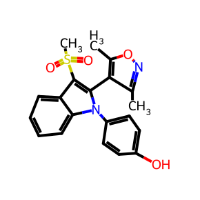 Cc1noc(C)c1-c1c(S(C)(=O)=O)c2ccccc2n1-c1ccc(O)cc1